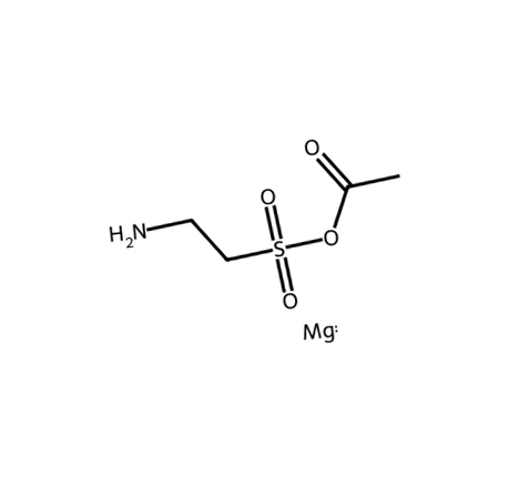 CC(=O)OS(=O)(=O)CCN.[Mg]